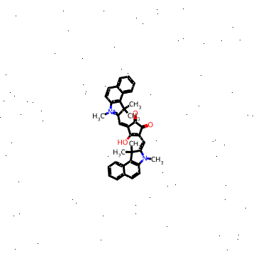 CN1C(=CC2=C(O)C(=CC3=[N+](C)c4ccc5ccccc5c4C3(C)C)C(=O)C2=O)C(C)(C)c2c1ccc1ccccc21